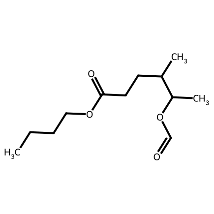 CCCCOC(=O)CCC(C)C(C)OC=O